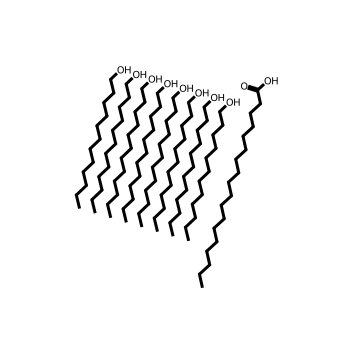 CCCCCCCCCCCCCCCCCC(=O)O.CCCCCCCCCCCCO.CCCCCCCCCCCCO.CCCCCCCCCCCCO.CCCCCCCCCCCCO.CCCCCCCCCCCCO.CCCCCCCCCCCCO.CCCCCCCCCCCCO.CCCCCCCCCCCCO